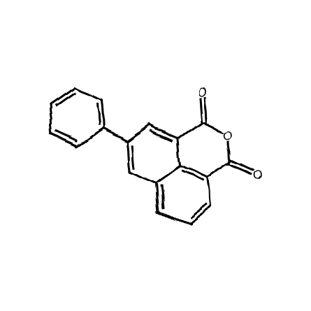 O=C1OC(=O)c2cc(-c3ccccc3)cc3cccc1c23